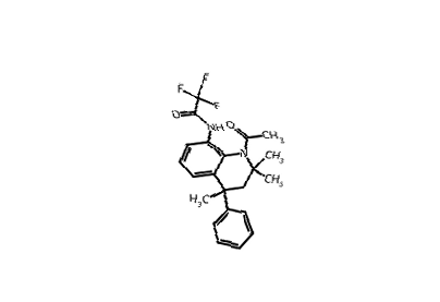 CC(=O)N1c2c(NC(=O)C(F)(F)F)cccc2C(C)(c2ccccc2)CC1(C)C